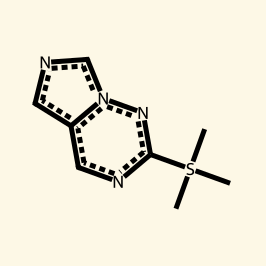 CS(C)(C)c1ncc2cncn2n1